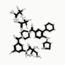 CN(C(=O)C(C)(C)CN)c1cc(F)cc(C(=O)N2CCN(C(=O)c3ccc(O[C@H]4CCNC4)c(C4CCCCC4)c3)CC2)c1.O=C(O)C(F)(F)F.O=C(O)C(F)(F)F